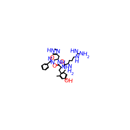 Cc1cc(O)cc(C)c1CC(NC(=O)C(N)CCCNC(=N)N)C(=O)NC(Cc1c[nH]cn1)c1nc(-c2ccccc2)no1